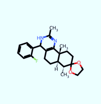 CC1=NC2=C(CC[C@@H]3[C@@H](C)C4(CC[C@@]23C)OCCO4)C(c2ccccc2F)N1